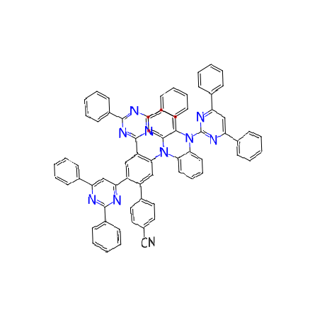 N#Cc1ccc(-c2cc(N3c4ccccc4N(c4nc(-c5ccccc5)cc(-c5ccccc5)n4)c4ccccc43)c(-c3nc(-c4ccccc4)nc(-c4ccccc4)n3)cc2-c2cc(-c3ccccc3)nc(-c3ccccc3)n2)cc1